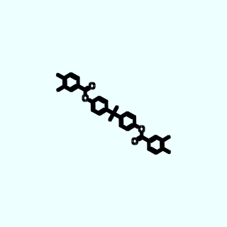 Cc1ccc(C(=O)Oc2ccc(C(C)(C)c3ccc(OC(=O)c4ccc(C)c(C)c4)cc3)cc2)cc1C